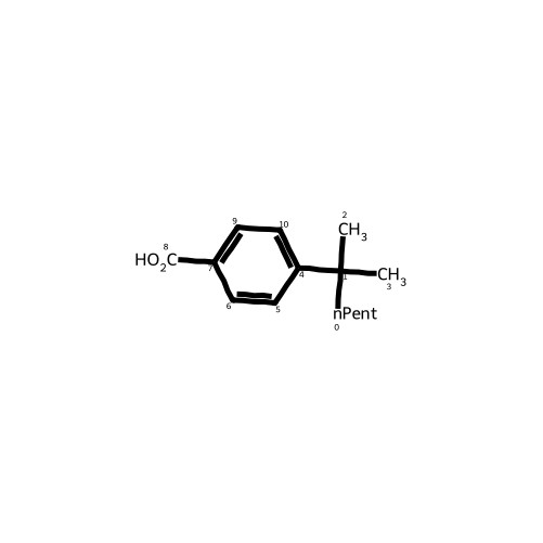 CCCCCC(C)(C)c1ccc(C(=O)O)cc1